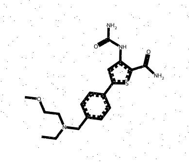 CCN(CCOC)Cc1ccc(-c2cc(NC(N)=O)c(C(N)=O)s2)cc1